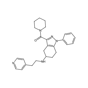 O=C(c1nn(-c2ccccc2)c2c1CC(NCCc1ccncc1)CC2)N1CCCCC1